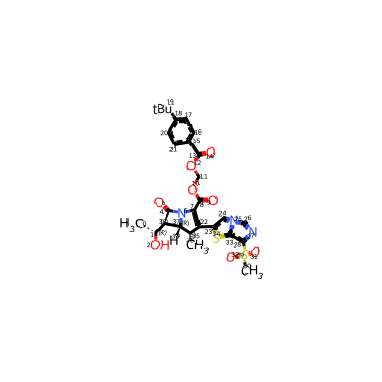 C[C@@H](O)[C@H]1C(=O)N2C(C(=O)OCOC(=O)c3ccc(C(C)(C)C)cc3)=C(c3cn4cnc(S(C)(=O)=O)c4s3)[C@H](C)[C@H]12